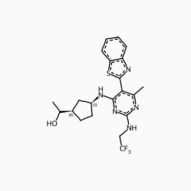 Cc1nc(NCC(F)(F)F)nc(N[C@H]2CC[C@@H](C(C)O)C2)c1-c1nc2ccccc2s1